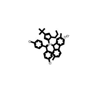 CCCC1C=C(C(C)(C)C)C=[C]1[Zr+2](=[C](c1ccc(Cl)cc1)c1ccc(Cl)cc1)[CH]1c2cc(C)ccc2-c2ccc(C)cc21.[Cl-].[Cl-]